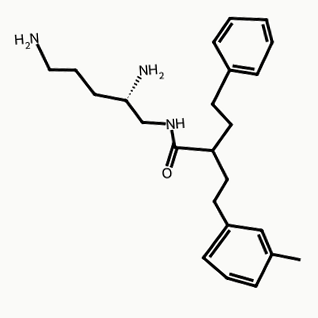 Cc1cccc(CCC(CCc2ccccc2)C(=O)NC[C@@H](N)CCCN)c1